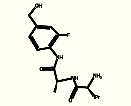 CC(C)[C@H](N)C(=O)N[C@@H](C)C(=O)Nc1ccc(CO)cc1F